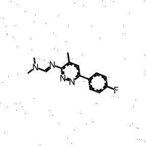 Cc1cc(-c2ccc(F)cc2)nnc1N=CN(C)C